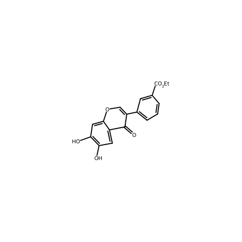 CCOC(=O)c1cccc(-c2coc3cc(O)c(O)cc3c2=O)c1